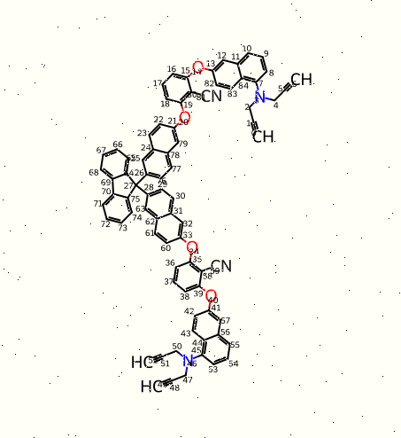 C#CCN(CC#C)c1cccc2cc(Oc3cccc(Oc4ccc5cc(C6(c7ccc8cc(Oc9cccc(Oc%10ccc%11c(N(CC#C)CC#C)cccc%11c%10)c9C#N)ccc8c7)c7ccccc7-c7ccccc76)ccc5c4)c3C#N)ccc12